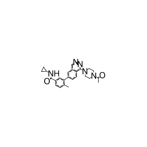 CC(=O)N1CCN(c2nncc3cc(-c4cc(C(=O)NC5CC5)ccc4C)ccc23)CC1